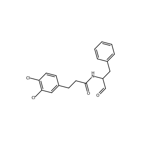 O=CC(Cc1ccccc1)NC(=O)CCc1ccc(Cl)c(Cl)c1